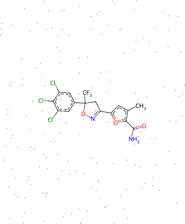 Cc1cc(C2=NOC(c3cc(Cl)c(Cl)c(Cl)c3)(C(F)(F)F)C2)oc1C(N)=O